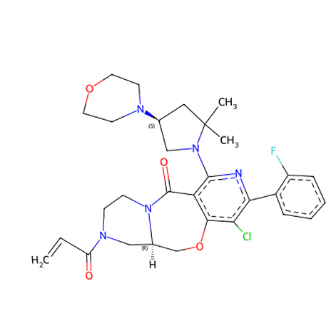 C=CC(=O)N1CCN2C(=O)c3c(N4C[C@@H](N5CCOCC5)CC4(C)C)nc(-c4ccccc4F)c(Cl)c3OC[C@H]2C1